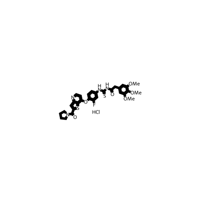 COc1cc(CC(=O)NC(=S)Nc2ccc(Oc3ccnc4cc(C(=O)N5CCCC5)sc34)c(F)c2)cc(OC)c1OC.Cl